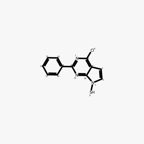 Sn1ccc2c(Cl)nc(-c3ccccc3)nc21